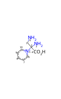 NCC(N)(C(=O)O)[n+]1ccccc1